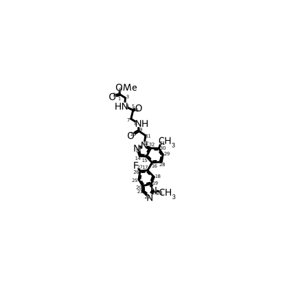 COC(=O)CNC(=O)CNC(=O)Cn1ncc2c(-c3cc4c(cnn4C)cc3F)ccc(C)c21